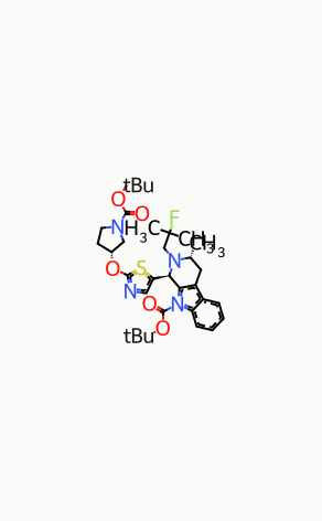 C[C@@H]1Cc2c(n(C(=O)OC(C)(C)C)c3ccccc23)[C@@H](c2cnc(O[C@@H]3CCN(C(=O)OC(C)(C)C)C3)s2)N1CC(C)(C)F